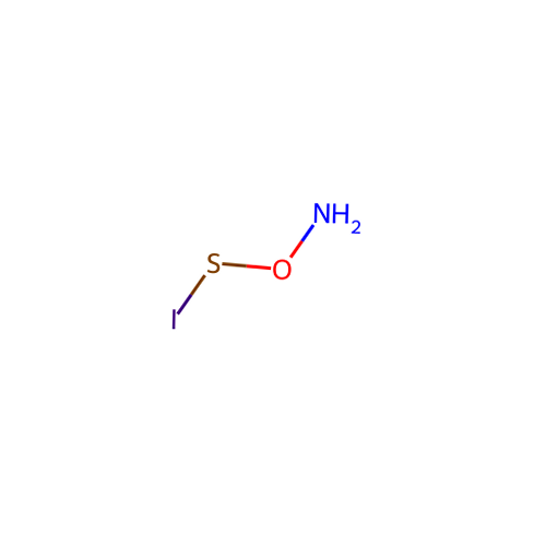 NOSI